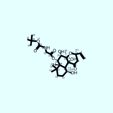 C=C[C@@]1(C)CC(=O)[C@]2(O)[C@@]3(C)[C@@H](O)CCC(C)(C)[C@@H]3[C@H](OC(=O)CNC(=O)OC(C)(C)C)[C@H](O)[C@@]2(C)O1